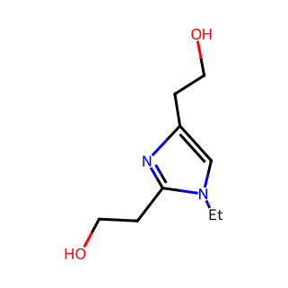 CCn1cc(CCO)nc1CCO